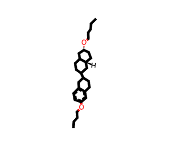 CCCCCO[C@@H]1CC[C@@H]2CC(C3CCc4cc(OCCCC)ccc4C3)CCC2C1